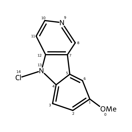 COc1ccc2c(c1)c1cnccc1n2Cl